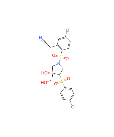 N#CCc1cc(Cl)ccc1S(=O)(=O)N1CC(S(=O)(=O)c2ccc(Cl)cc2)[C@](O)(CO)C1